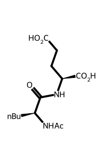 CCCC[C@H](NC(C)=O)C(=O)N[C@@H](CCC(=O)O)C(=O)O